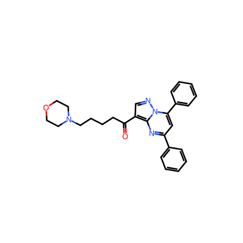 O=C(CCCCN1CCOCC1)c1cnn2c(-c3ccccc3)cc(-c3ccccc3)nc12